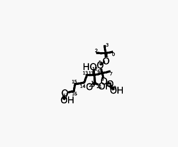 CC(C)(C)OOC(C)(OOO)C(O)(CCCCOO)C(=O)O